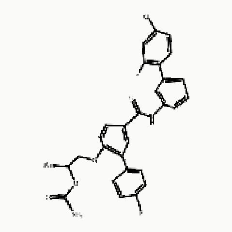 CC(C)(C)C(COc1ccc(C(=O)Nc2cccc(-c3ccc(Cl)cc3F)c2)cc1-c1ccc(F)cc1)OC(N)=O